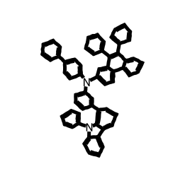 c1ccc(-c2ccc(N(c3cccc(-c4cccc5c6ccccc6n(-c6ccccc6)c45)c3)c3ccc4c(c3)c(-c3ccccc3)c(-c3ccccc3)c3ccccc34)cc2)cc1